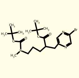 CN(CCCC(Cc1cnc(Br)cn1)C(=O)OC(C)(C)C)C(=O)OC(C)(C)C